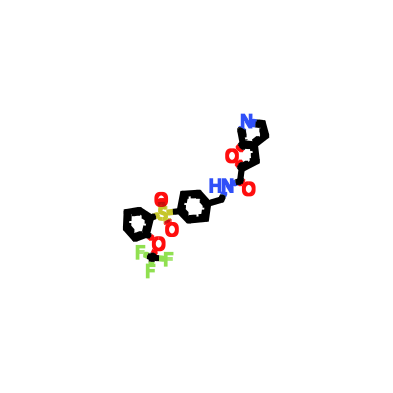 O=C(NCc1ccc(S(=O)(=O)c2ccccc2OC(F)(F)F)cc1)c1cc2ccncc2o1